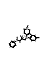 Cc1ccc2c(c1)c1c(n2CC(O)CNc2ccccc2)CCN(C)C1